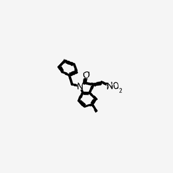 Cc1ccc2c(c1)/C(=C\[N+](=O)[O-])C(=O)N2Cc1ccccc1